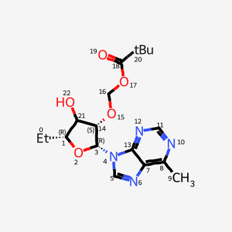 CC[C@H]1O[C@@H](n2cnc3c(C)ncnc32)[C@@H](OCOC(=O)C(C)(C)C)C1O